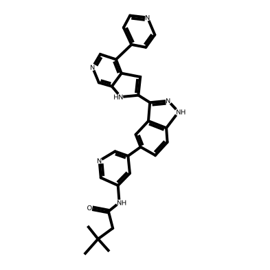 CC(C)(C)CC(=O)Nc1cncc(-c2ccc3[nH]nc(-c4cc5c(-c6ccncc6)cncc5[nH]4)c3c2)c1